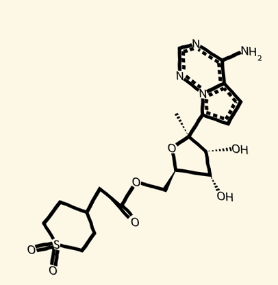 C[C@@]1(c2ccc3c(N)ncnn23)O[C@H](COC(=O)CC2CCS(=O)(=O)CC2)[C@@H](O)[C@H]1O